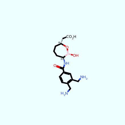 NCc1ccc(C(=O)N[C@H]2CCC[C@H](CC(=O)O)OB2O)cc1CN